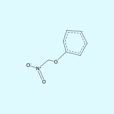 O=[N+]([O-])COc1cc[c]cc1